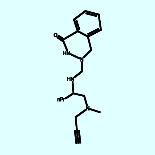 C#CCN(C)CC(CCC)NCN1Cc2ccccc2C(=O)N1